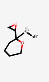 CCC[SiH2]C1(C2CO2)CCCCO1